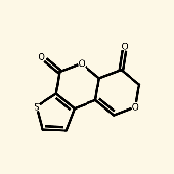 O=C1OC2C(=O)COC=C2c2ccsc21